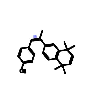 C/C(=C/c1ccc(C#N)cc1)c1ccc2c(c1)C(C)(C)C=CC2(C)C